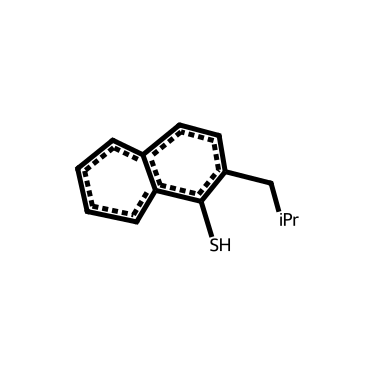 CC(C)Cc1ccc2ccccc2c1S